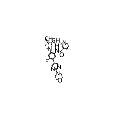 C[C@H]1CN(c2cc(F)c(-c3cnc(N4CCOCC4)nc3)cc2NC(=O)c2cccnc2)CCN1C